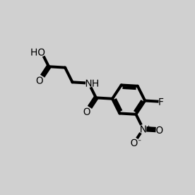 O=C(O)CCNC(=O)c1ccc(F)c([N+](=O)[O-])c1